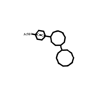 CC(=O)NC12CCC(C3CCCCCC(C4CCCCCCCCC4)CC3)(CC1)CC2